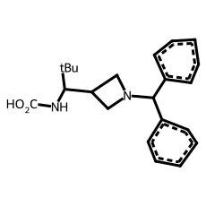 CC(C)(C)C(NC(=O)O)C1CN(C(c2ccccc2)c2ccccc2)C1